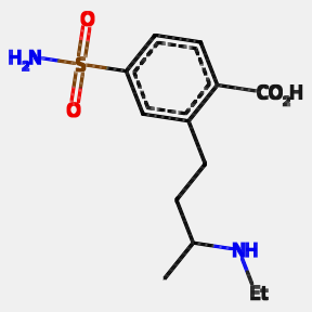 CCNC(C)CCc1cc(S(N)(=O)=O)ccc1C(=O)O